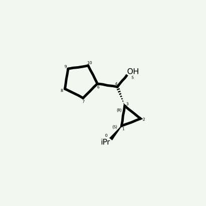 CC(C)[C@@H]1C[C@H]1C(O)C1CCCC1